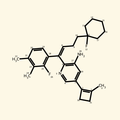 CC1=C(c2cnc(/C(=C\CCC3(F)CCCCC3)c3ccc(C)c(C)c3F)c(N)c2)CC1